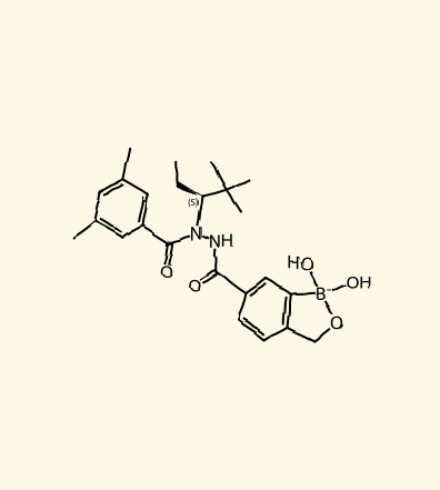 CC[C@H](N(NC(=O)c1ccc2c(c1)[B-](O)(O)OC2)C(=O)c1cc(C)cc(C)c1)C(C)(C)C